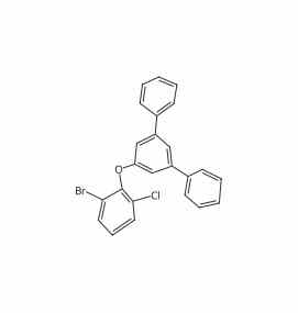 Clc1cccc(Br)c1Oc1cc(-c2ccccc2)cc(-c2ccccc2)c1